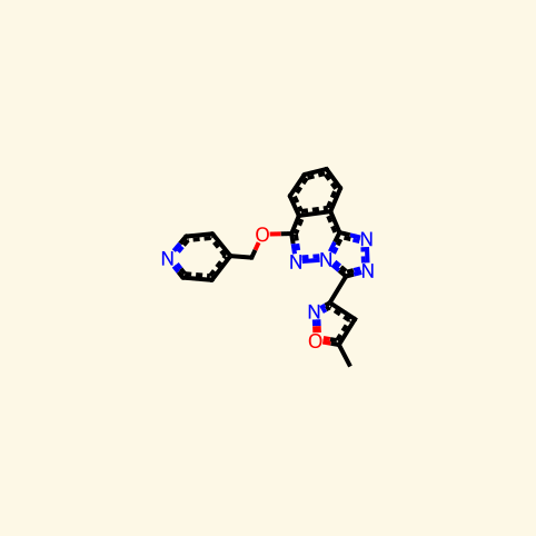 Cc1cc(-c2nnc3c4ccccc4c(OCc4ccncc4)nn23)no1